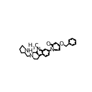 Cn1c2c(c3ccc(-n4ccc(OCc5ccccc5)cc4=O)cc31)CCN(CC1CCCN1)C2